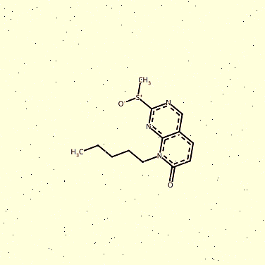 CCCCCn1c(=O)ccc2cnc([S+](C)[O-])nc21